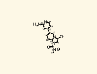 C[N+](=O)C(=O)n1cc(Cl)c2cc(-c3ccnc(N)c3)ccc21